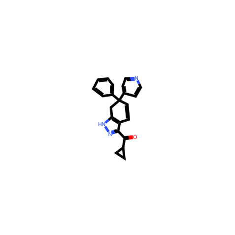 O=C(c1n[nH]c2c1C=CC(c1ccccc1)(c1ccncc1)C2)C1CC1